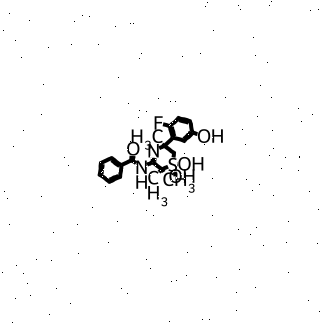 CC1(C)C(NC(=O)c2ccccc2)=N[C@](C)(c2cc(O)ccc2F)CS1(O)O